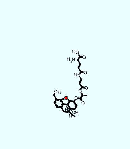 C[C@H](OC(=O)CCNC(=O)CC[C@H](N)C(=O)O)C(=O)OC1=CC[C@@]2(O)[C@H]3Cc4ccc(CO)c5c4[C@@]2(CCN3C)[C@H]1O5